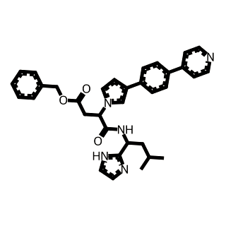 CC(C)CC(NC(=O)C(CC(=O)OCc1ccccc1)n1ccc(-c2ccc(-c3ccncc3)cc2)c1)c1ncc[nH]1